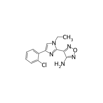 CCn1cc(-c2ccccc2Cl)nc1-c1nonc1N